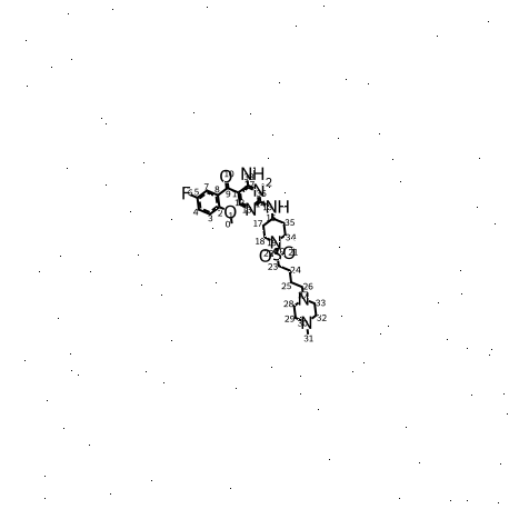 COc1ccc(F)cc1C(=O)c1cnc(NC2CCN(S(=O)(=O)CCCCN3CCN(C)CC3)CC2)nc1N